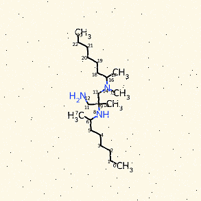 CCCCCCC(C)NC(C)(CN)CN(C)C(C)CCCCCC